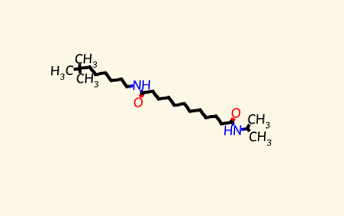 CC(C)NC(=O)CCCCCCCCCCC(=O)NCCCCCCC(C)(C)C